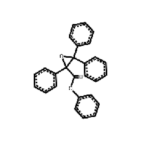 O=C(Oc1ccccc1)C1(c2ccccc2)OC1(c1ccccc1)c1ccccc1